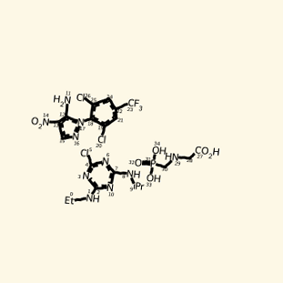 CCNc1nc(Cl)nc(NC(C)C)n1.Nc1c([N+](=O)[O-])cnn1-c1c(Cl)cc(C(F)(F)F)cc1Cl.O=C(O)CNCP(=O)(O)O